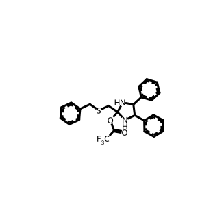 O=C(OC1(CSCc2ccccc2)NC(c2ccccc2)C(c2ccccc2)N1)C(F)(F)F